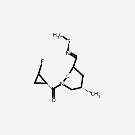 CS/N=C/C1C[C@H](C)CN(C(=O)[C@@H]2CC2F)C1